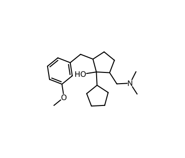 COc1cccc(CC2CCC(CN(C)C)C2(O)C2CCCC2)c1